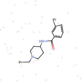 CC(C)CN1CCC(NC(=O)c2cccc(C(C)C)c2)CC1